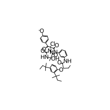 CCC(Oc1ccc(C(C)(C)CC)cc1C(C)(C)CC)C(=O)Nc1cccc(NC(=O)C(Cl)(C(=O)c2ccc(OC)cc2)N2C(=O)NC(C)(O)C2=O)c1